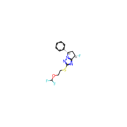 FC(F)OCCSc1nc2n(n1)[C@H](c1ccccc1)C[C@@H]2F